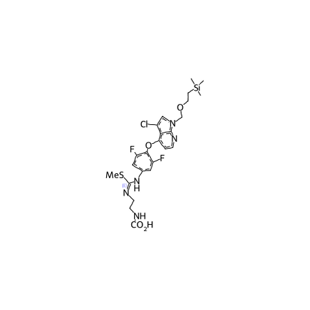 CS/C(=N/CCNC(=O)O)Nc1cc(F)c(Oc2ccnc3c2c(Cl)cn3COCC[Si](C)(C)C)c(F)c1